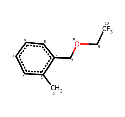 Cc1ccccc1COCC(F)(F)F